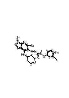 CCc1nc2c(cnn2CC)c(NC2CCOCC2)c1CNC(=O)NCc1ccc(F)c(C)c1